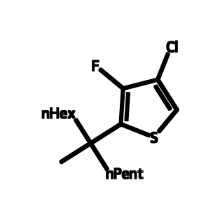 CCCCCCC(C)(CCCCC)c1scc(Cl)c1F